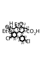 CCC(CNS(=O)(=O)CC)N1C(=O)[C@@](C)(CC(=O)O)C[C@H](c2cccc(Cl)c2)[C@H]1c1ccc(Cl)cc1